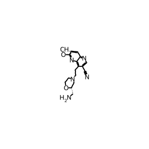 COc1ccc2ncc(C#N)c(CCN3CCO[C@@H](CN)C3)c2n1